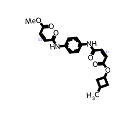 COC(=O)/C=C\C(=O)Nc1ccc(NC(=O)/C=C\C(=O)OC2CC(C)C2)cc1